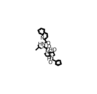 CC(C)C[C@H](NC(=O)c1ccc2ccccc2n1)C(=O)N1CC[C@@H]2[C@H]1C(=O)CN2C(=O)c1ccccc1